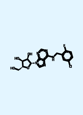 OC[C@H]1O[C@@H](n2cnc3c(NCc4cc(Cl)ccc4F)ncnc32)[C@H](O)[C@@H]1O